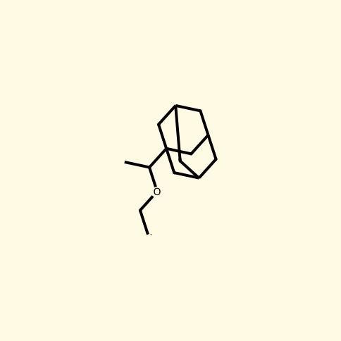 [CH2]COC(C)C12CC3CC(CC(C3)C1)C2